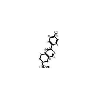 CCCCCCCCCCC1CCc2nc(-c3ccc(Cl)cc3)ncc2C1